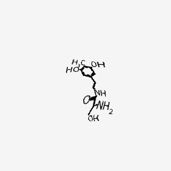 Cc1c(O)cc(CCNC(=O)[C@@H](N)CO)cc1O